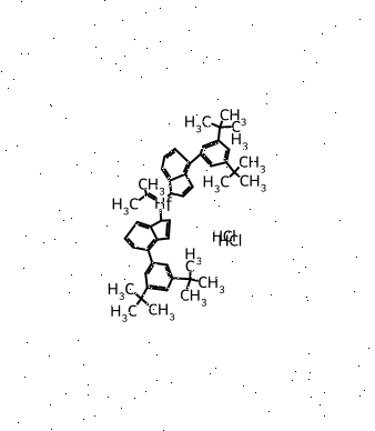 C[C](C)=[Hf]([CH]1C=Cc2c(-c3cc(C(C)(C)C)cc(C(C)(C)C)c3)cccc21)[CH]1C=Cc2c(-c3cc(C(C)(C)C)cc(C(C)(C)C)c3)cccc21.Cl.Cl